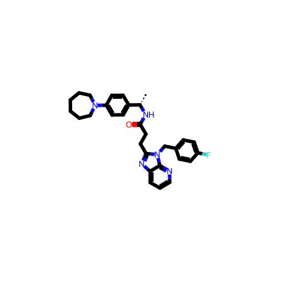 C[C@H](NC(=O)CCc1nc2cccnc2n1Cc1ccc(F)cc1)c1ccc(N2CCCCCC2)cc1